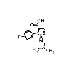 CN(C)CC[SH]1C=NC(C(=O)O)=C1c1ccc(F)cc1